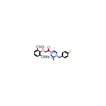 COc1cccc(C=O)c1OCC(=O)N1C[C@H](C)N(Cc2ccc(F)cc2)C[C@H]1C